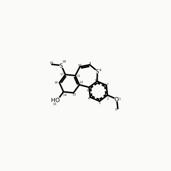 COc1ccc2c(c1)SC=CC1=C2CC(O)C=C1SC